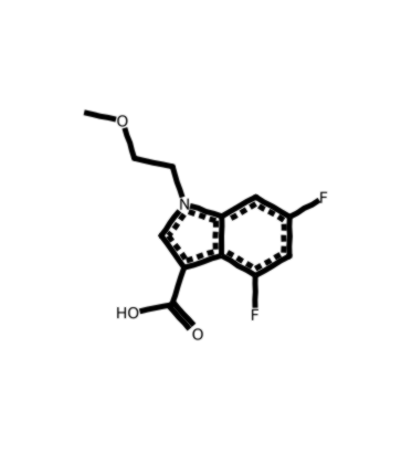 COCCn1cc(C(=O)O)c2c(F)cc(F)cc21